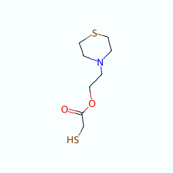 O=C(CS)OCCN1CCSCC1